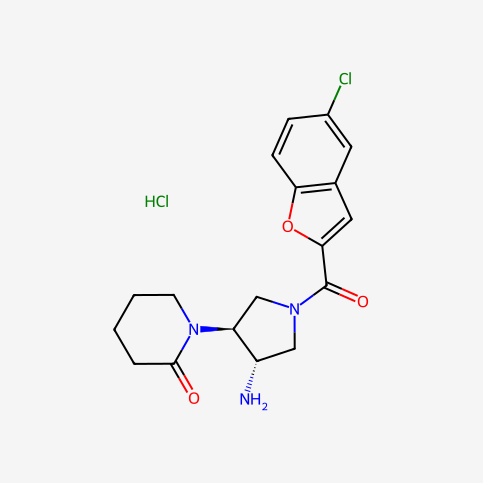 Cl.N[C@H]1CN(C(=O)c2cc3cc(Cl)ccc3o2)C[C@@H]1N1CCCCC1=O